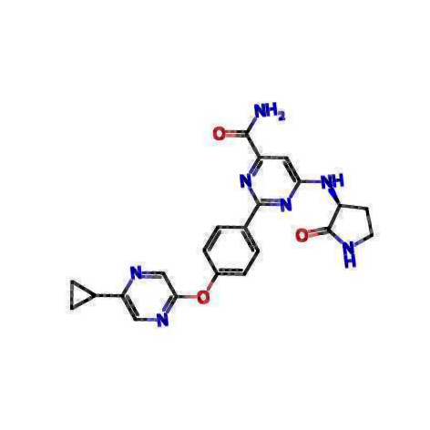 NC(=O)c1cc(N[C@H]2CCNC2=O)nc(-c2ccc(Oc3cnc(C4CC4)cn3)cc2)n1